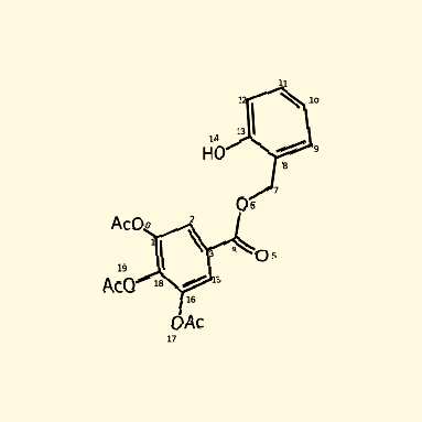 CC(=O)Oc1cc(C(=O)OCc2ccccc2O)cc(OC(C)=O)c1OC(C)=O